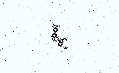 COc1ccc2c(N3CCOc4c(C)cc(-c5ccc6[nH]c(C)nc6c5)cc4C3)nc(CN(C)C)nc2c1